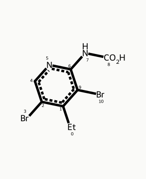 CCc1c(Br)cnc(NC(=O)O)c1Br